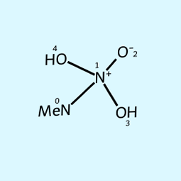 CN[N+]([O-])(O)O